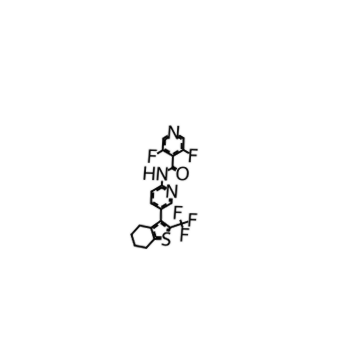 O=C(Nc1ccc(-c2c(C(F)(F)F)sc3c2CCCC3)cn1)c1c(F)cncc1F